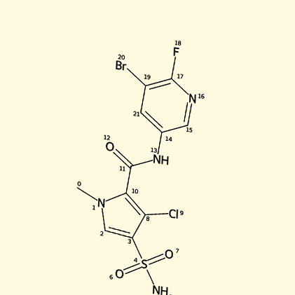 Cn1cc(S(N)(=O)=O)c(Cl)c1C(=O)Nc1cnc(F)c(Br)c1